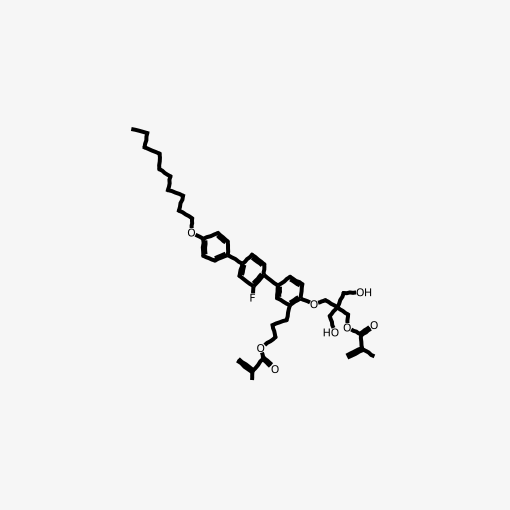 C=C(C)C(=O)OCCCc1cc(-c2ccc(-c3ccc(OCCCCCCCCCC)cc3)cc2F)ccc1OCC(CO)(CO)COC(=O)C(=C)C